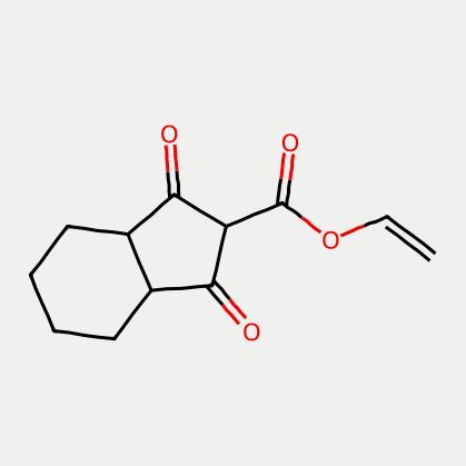 C=COC(=O)C1C(=O)C2CCCCC2C1=O